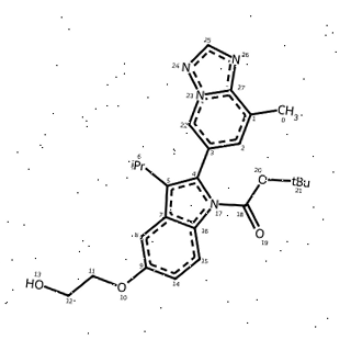 Cc1cc(-c2c(C(C)C)c3cc(OCCO)ccc3n2C(=O)OC(C)(C)C)cn2ncnc12